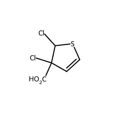 O=C(O)C1(Cl)C=CSC1Cl